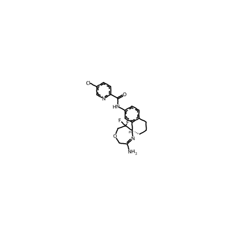 NC1=N[C@@]2(CCCc3ccc(NC(=O)c4ccc(Cl)cn4)cc32)C(F)(F)COC1